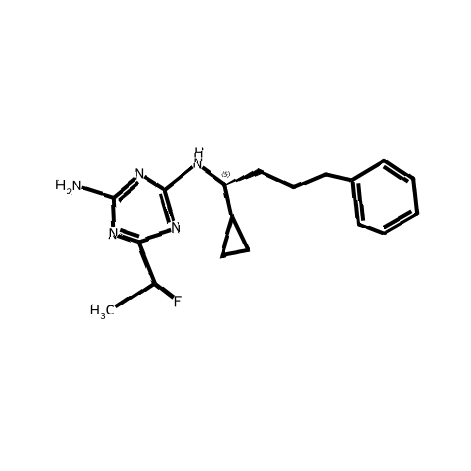 CC(F)c1nc(N)nc(N[C@@H](CCCc2ccccc2)C2CC2)n1